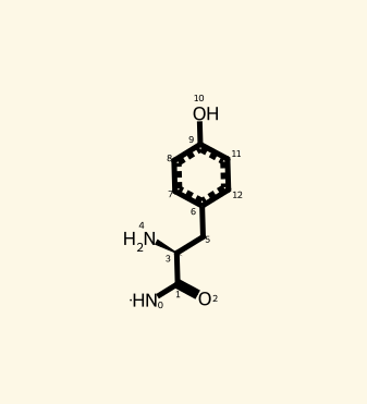 [NH]C(=O)[C@@H](N)Cc1ccc(O)cc1